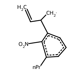 [CH2]C(C=C)c1cccc(CCC)c1[N+](=O)[O-]